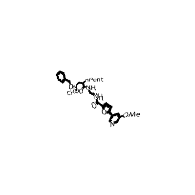 CCCCCC(CN(C=O)OCc1ccccc1)C(=O)NCNC(=O)c1ccc(-c2cncc(OC)c2)o1